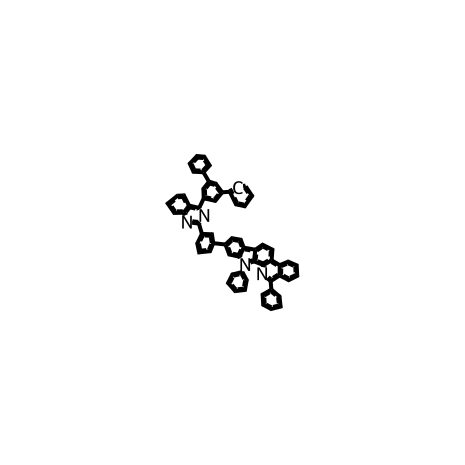 c1ccc(-c2cc(-c3ccccc3)cc(-c3nc(-c4cccc(-c5ccc6c7ccc8c9ccccc9c(-c9ccccc9)nc8c7n(-c7ccccc7)c6c5)c4)nc4ccccc34)c2)cc1